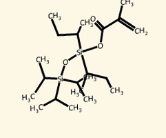 C=C(C)C(=O)O[Si](O[Si](C(C)C)(C(C)C)C(C)C)(C(C)CC)C(C)CC